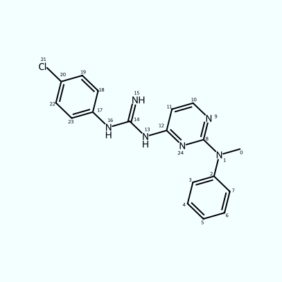 CN(c1ccccc1)c1nccc(NC(=N)Nc2ccc(Cl)cc2)n1